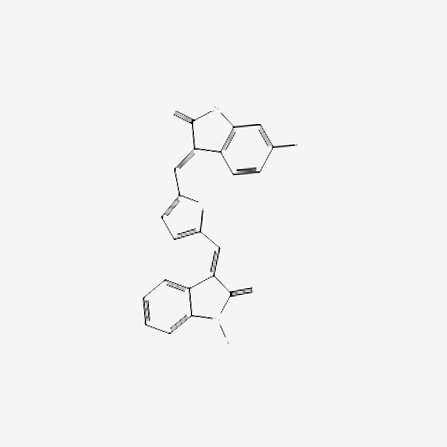 CC(=O)N1C(=O)/C(=C/c2ccc(/C=C3/C(=O)Nc4cc(C(=O)O)ccc43)o2)c2ccccc21